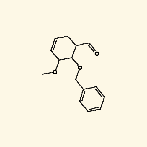 COC1C=CCC(C=O)C1OCc1ccccc1